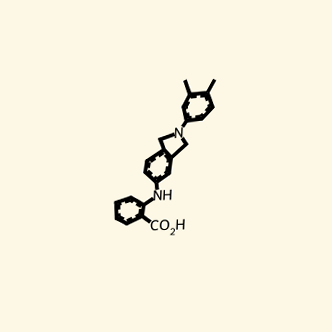 Cc1ccc(N2Cc3ccc(Nc4ccccc4C(=O)O)cc3C2)cc1C